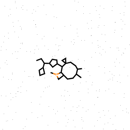 CCC(C1CCC1)C1CCC(C2C3C(CCC(C)C(C)CCC24CC4)CP3C)C1